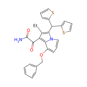 CCc1c(C(=O)C(N)=O)c2c(OCc3ccccc3)cccn2c1C(c1cccs1)c1cccs1